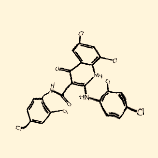 O=C(Nc1ccc(Cl)cc1Cl)c1c(Nc2ccc(Cl)cc2Cl)[nH]c2c(Cl)cc(Cl)cc2c1=O